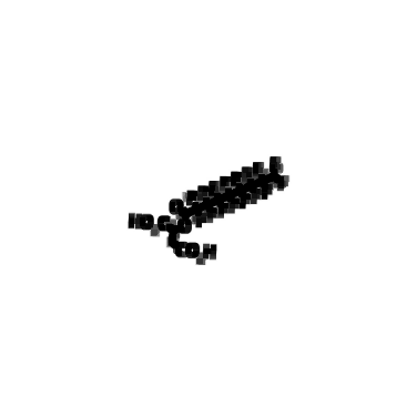 O=C(O)CC(OC(=O)C(F)(F)C(F)(F)C(F)(F)C(F)(F)C(F)(F)C(F)(F)C(F)(F)C(F)F)C(=O)O